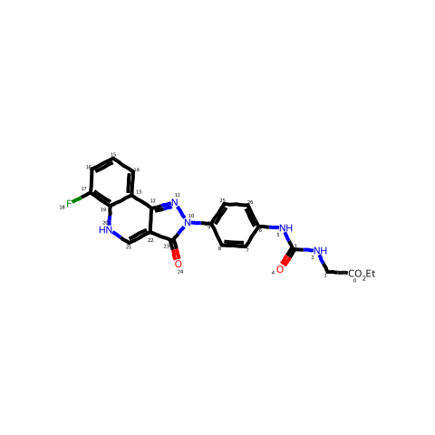 CCOC(=O)CNC(=O)Nc1ccc(-n2nc3c4cccc(F)c4[nH]cc-3c2=O)cc1